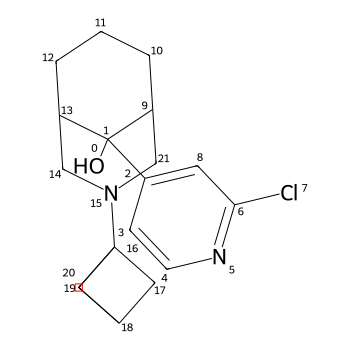 OC1(c2ccnc(Cl)c2)C2CCCC1CN(C13CC(C1)C3)C2